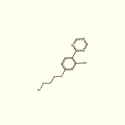 CCOCCOc1ccc(-c2ncncn2)c(O)c1